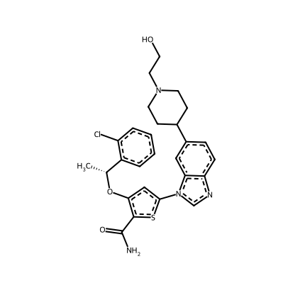 C[C@@H](Oc1cc(-n2cnc3ccc(C4CCN(CCO)CC4)cc32)sc1C(N)=O)c1ccccc1Cl